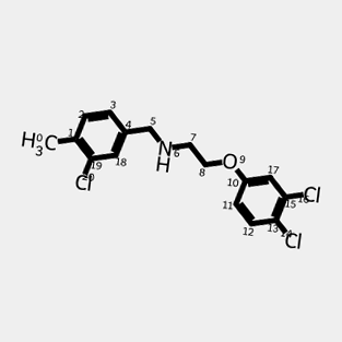 Cc1ccc(CNCCOc2ccc(Cl)c(Cl)c2)cc1Cl